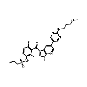 CCCS(=O)(=O)Nc1ccc(F)c(C(=O)c2c[nH]c3ncc(-c4cnc(NCCCOC)nc4)cc23)c1F